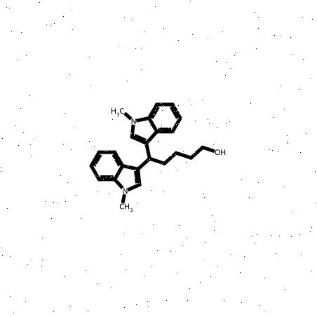 Cn1cc(C(CCCCO)c2cn(C)c3ccccc23)c2ccccc21